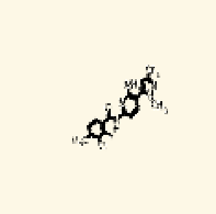 Cc1ccc(C(=O)Nc2ccc(-c3cc(C(F)(F)F)nn3C)c(N)n2)c(F)c1Cl